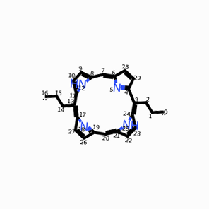 [CH]CCc1c2nc(cc3ccc([nH]3)c(CC[CH])c3nc(cc4ccc1[nH]4)C=C3)C=C2